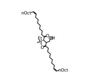 CCCCCCCC/C=C\CCCCCCCC(=O)C(CO)C(C(=O)CCCCCCC/C=C\CCCCCCCC)[N+](C)(C)CC.[Cl-]